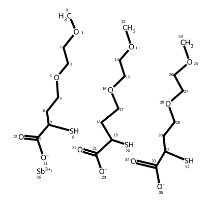 COCCOCCC(S)C(=O)[O-].COCCOCCC(S)C(=O)[O-].COCCOCCC(S)C(=O)[O-].[Sb+3]